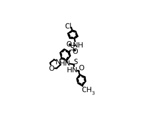 Cc1ccc(C(=O)NC(=S)Nc2cc(S(=O)(=O)Nc3ccc(Cl)cc3)ccc2N2CCOCC2)cc1